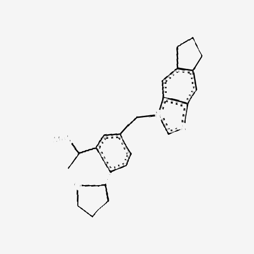 CNC(C)c1cc(Cn2cnc3cc4c(cc32)CCC4)ccc1[C@@H]1CCCO1